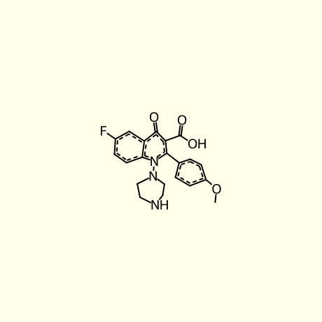 COc1ccc(-c2c(C(=O)O)c(=O)c3cc(F)ccc3n2N2CCNCC2)cc1